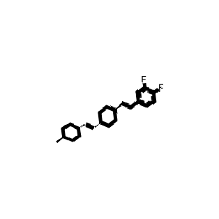 C[C@H]1CC[C@H](C=C[C@H]2CC[C@H](CCc3ccc(F)c(F)c3)CC2)CC1